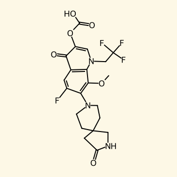 COc1c(N2CCC3(CC2)CNC(=O)C3)c(F)cc2c(=O)c(OC(=O)O)cn(CC(F)(F)F)c12